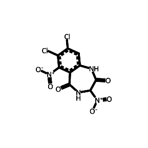 O=C1NC([N+](=O)[O-])C(=O)Nc2cc(Cl)c(Cl)c([N+](=O)[O-])c21